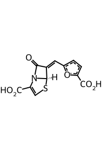 O=C(O)C1=CS[C@@H]2/C(=C\c3ccc(C(=O)O)o3)C(=O)N12